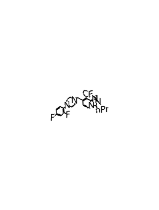 CCCc1nnc2c(C(F)(F)F)c(CN3CCN(c4ccc(F)cc4F)CC3)ccn12